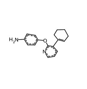 Nc1ccc(Oc2ncccc2C2=CCCCC2)cc1